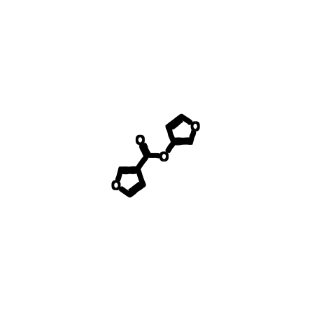 O=C(Oc1ccoc1)c1ccoc1